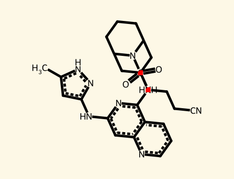 Cc1cc(Nc2cc3ncccc3c(NC3CC4CCCC(C3)N4S(=O)(=O)NCCC#N)n2)n[nH]1